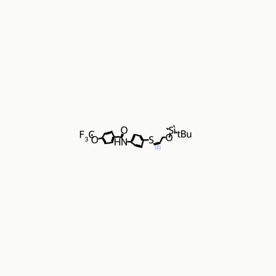 CC(C)(C)[Si](C)(C)OC/C=C\Sc1ccc(NC(=O)c2ccc(OC(F)(F)F)cc2)cc1